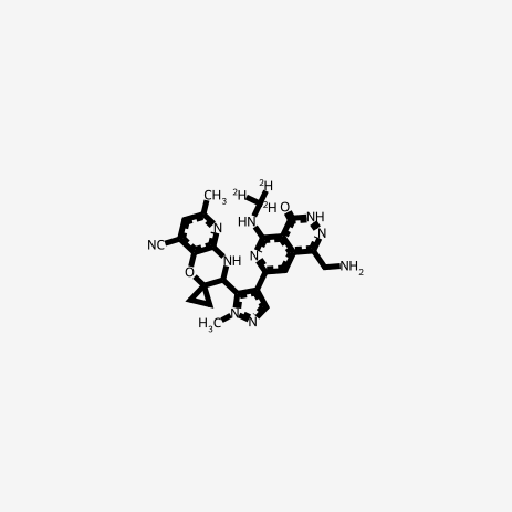 [2H]C([2H])([2H])Nc1nc(-c2cnn(C)c2C2Nc3nc(C)cc(C#N)c3OC23CC3)cc2c(CN)n[nH]c(=O)c12